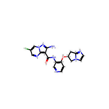 Nc1nn2cc(F)cnc2c1C(=O)Nc1cnccc1O[C@H]1Cc2nccn2C1